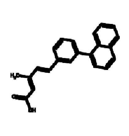 CC(C=Cc1cccc(-c2cccc3ccccc23)c1)=CC(=O)O